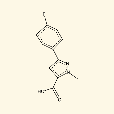 Cn1nc(-c2ccc(F)cc2)cc1C(=O)O